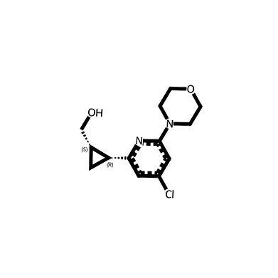 OC[C@H]1C[C@H]1c1cc(Cl)cc(N2CCOCC2)n1